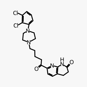 O=C1CCc2ccc(C(=O)CCCCN3CCN(c4cccc(Cl)c4Cl)CC3)nc2N1